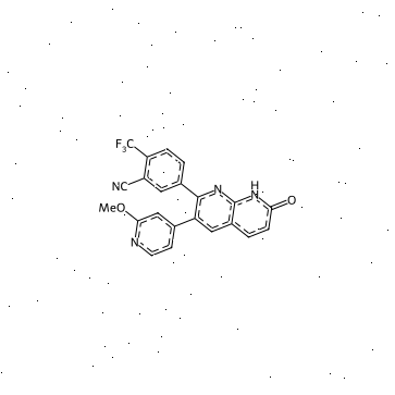 COc1cc(-c2cc3ccc(=O)[nH]c3nc2-c2ccc(C(F)(F)F)c(C#N)c2)ccn1